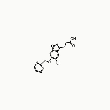 O=C(O)CCc1noc2cc(OCc3ncccn3)c(Cl)cc12